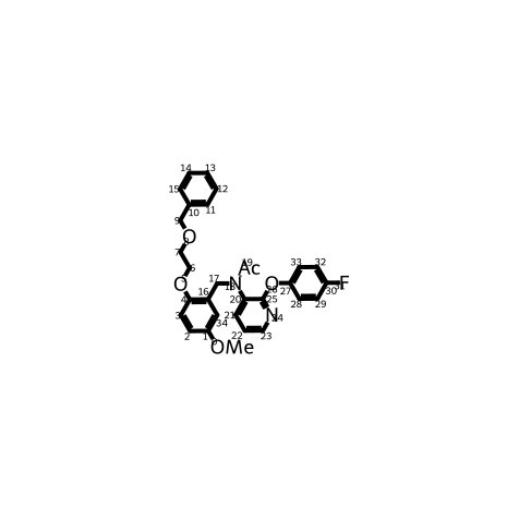 COc1ccc(OCCOCc2ccccc2)c(CN(C(C)=O)c2cccnc2Oc2ccc(F)cc2)c1